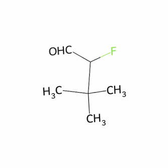 CC(C)(C)C(F)C=O